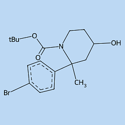 CC(C)(C)OC(=O)N1CCC(O)CC1(C)c1ccc(Br)cc1